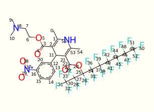 CC1=C(C(=O)OCCN(C)C)C(c2cccc([N+](=O)[O-])c2)C(C(=O)OC(F)(C(F)(F)C(F)(F)F)C(F)(F)C(F)(F)C(F)(F)C(F)(F)C(F)(F)C(F)(F)F)=C(C)N1